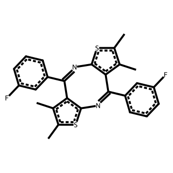 Cc1sc2c(c1C)/C(c1cccc(F)c1)=N\c1sc(C)c(C)c1/C(c1cccc(F)c1)=N\2